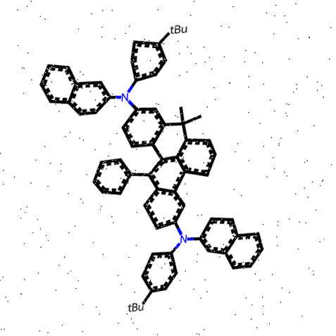 CC(C)(C)c1ccc(N(c2ccc3c(c2)C(C)(C)c2cccc4c2c-3c(-c2ccccc2)c2ccc(N(c3ccc(C(C)(C)C)cc3)c3ccc5ccccc5c3)cc24)c2ccc3ccccc3c2)cc1